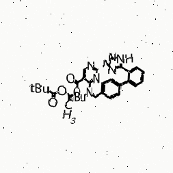 CCCCN(Cc1ccc(-c2ccccc2-c2nnn[nH]2)cc1)c1ncncc1C(=O)OC(C)OC(=O)C(C)(C)C